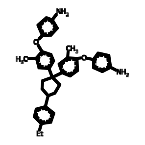 CCc1ccc(C2CCC(c3ccc(Oc4ccc(N)cc4)c(C)c3)(c3ccc(Oc4ccc(N)cc4)c(C)c3)CC2)cc1